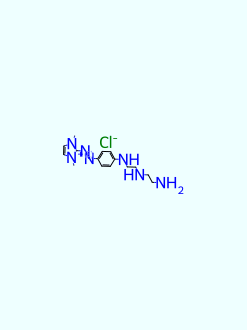 Cn1cc[n+](C)c1/N=N/c1ccc(NCCNCCN)cc1.[Cl-]